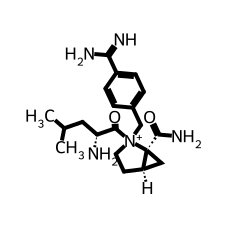 CC(C)C[C@@H](N)C(=O)[N+]1(Cc2ccc(C(=N)N)cc2)CC[C@@H]2C[C@@]21C(N)=O